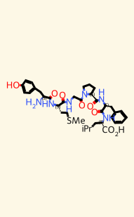 CSCC[C@H](NC(=O)[C@@H](N)Cc1ccc(O)cc1)C(=O)NCC(=O)N1CCC[C@H]1C(=O)N[C@@H](Cc1ccccc1)C(=O)N[C@@H](CC(C)C)C(=O)O